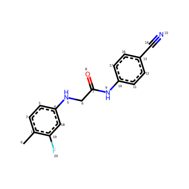 Cc1ccc(NCC(=O)Nc2ccc(C#N)cc2)cc1F